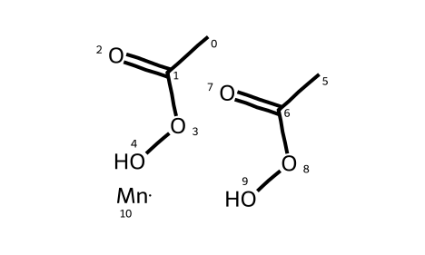 CC(=O)OO.CC(=O)OO.[Mn]